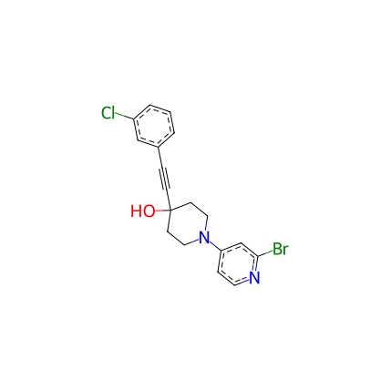 OC1(C#Cc2cccc(Cl)c2)CCN(c2ccnc(Br)c2)CC1